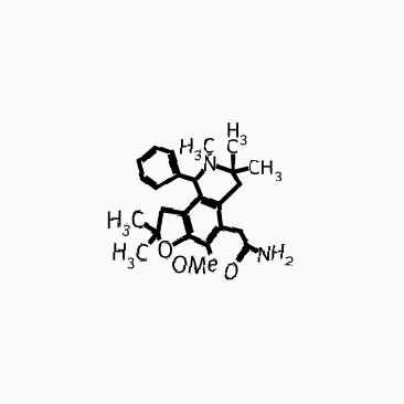 COc1c(CC(N)=O)c2c(c3c1OC(C)(C)C3)C(c1ccccc1)N(C)C(C)(C)C2